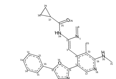 C=N/C(=C\c1c(-c2ncc(-c3ccccc3)o2)cnc(NC)c1C)NC(=O)C1CC1